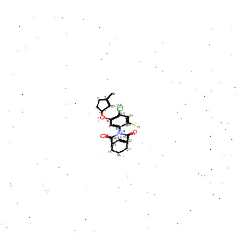 CC1CCC(Oc2cc(N3C(=O)C4=CC(CCC4)C3=O)c(F)cc2Cl)C1